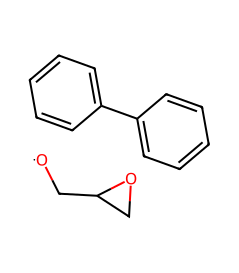 [O]CC1CO1.c1ccc(-c2ccccc2)cc1